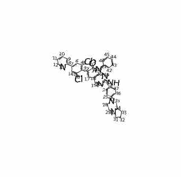 O=c1c(-c2c(Cl)cc(-c3ccccn3)cc2Cl)cc2cnc(Nc3ccc(N4CCN5CCCC5C4)cc3)nc2n1-c1ccccc1